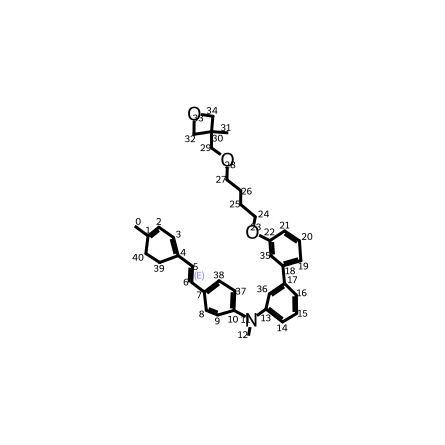 CC1=CC=C(/C=C/c2ccc(N(C)c3cccc(-c4cccc(OCCCCOCC5(C)COC5)c4)c3)cc2)CC1